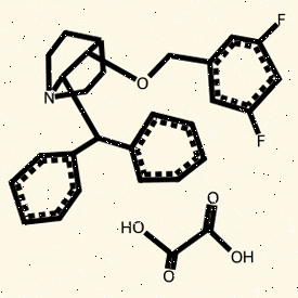 Fc1cc(F)cc(COC2C3CCN(CC3)C2C(c2ccccc2)c2ccccc2)c1.O=C(O)C(=O)O